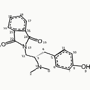 CN(C)[C@@H](Cc1ccc(O)cc1)CN1C(=O)c2ccccc2C1=O